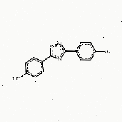 CC(C)(C)c1ccc(-c2nc(-c3ccc(C=O)cc3)no2)cc1